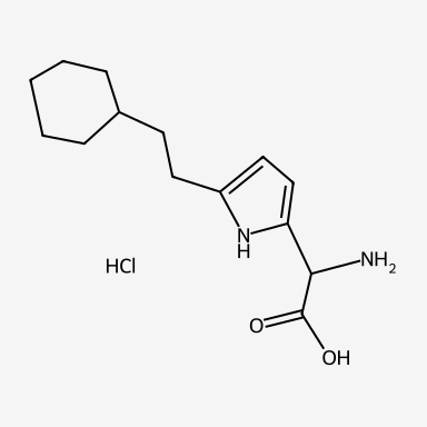 Cl.NC(C(=O)O)c1ccc(CCC2CCCCC2)[nH]1